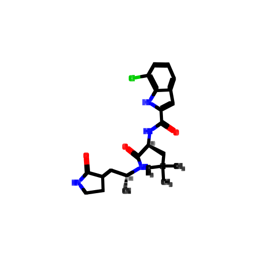 C[Si](C)(C)C[C@H](NC(=O)c1cc2cccc(Cl)c2[nH]1)C(=O)N[C@H](C#N)CC1CCNC1=O